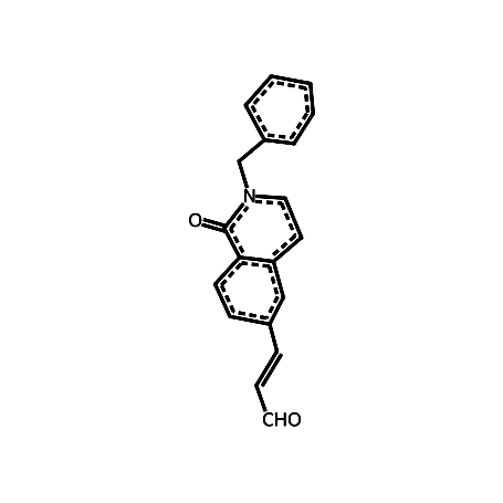 O=C/C=C/c1ccc2c(=O)n(Cc3ccccc3)ccc2c1